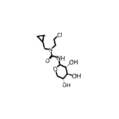 O=C(NC1OC[C@@H](O)[C@H](O)[C@H]1O)N(CCCl)CC1CC1